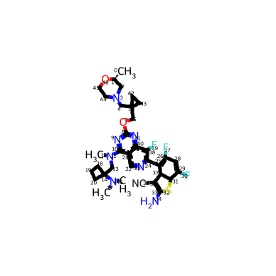 C[C@@H]1CN(CC2(COc3nc(N(C)CC4(N(C)C)CCC4)c4cnc(C5=C(F)C=C(F)C6SC(N)=C(C#N)C56)c(F)c4n3)CC2)CCO1